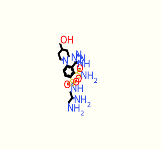 NCC(N)CNS(=O)(=O)c1ccc(N2CCC(CO)CC2)c(-c2nnn[nH]2)c1S(N)(=O)=O